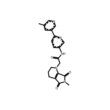 Cc1cncc(-c2ccc(NC(=O)CN3CCCC4=C3C(=O)N(C)C4=O)cn2)c1